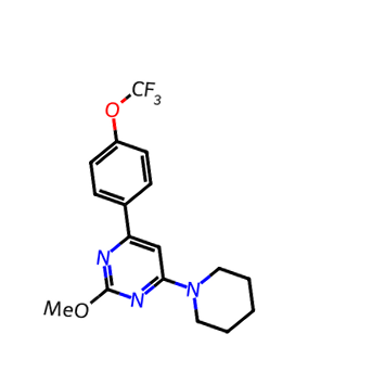 COc1nc(-c2ccc(OC(F)(F)F)cc2)cc(N2CCCCC2)n1